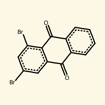 O=C1c2ccccc2C(=O)c2c(Br)cc(Br)cc21